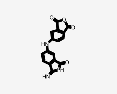 N=C1PC(=O)c2cc(Nc3ccc4c(c3)C(=O)OC4=O)ccc21